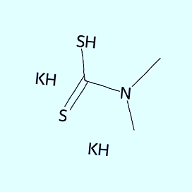 CN(C)C(=S)S.[KH].[KH]